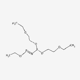 CCOCCOP(N=POCC)OCCOCC